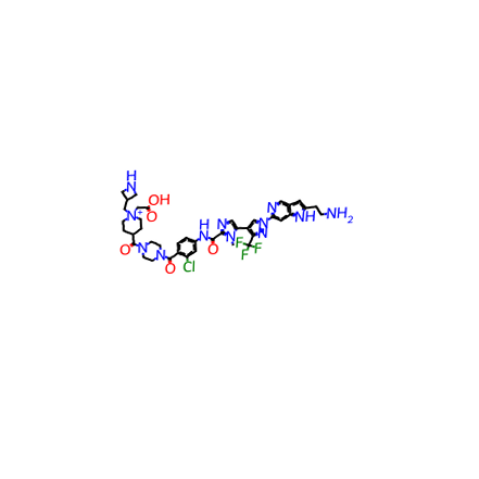 Cn1c(-c2cn(-c3cc4[nH]c(CCN)cc4cn3)nc2C(F)(F)F)cnc1C(=O)Nc1ccc(C(=O)N2CCN(C(=O)C3CC[N+](CC(=O)O)(CC4CNC4)CC3)CC2)c(Cl)c1